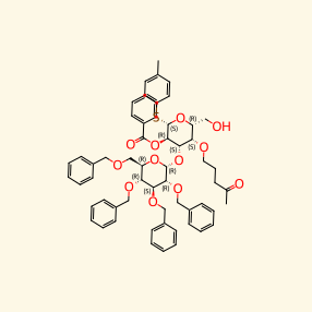 CC(=O)CCCO[C@@H]1[C@H](O[C@H]2O[C@H](COCc3ccccc3)[C@@H](OCc3ccccc3)[C@H](OCc3ccccc3)[C@H]2OCc2ccccc2)[C@@H](OC(=O)c2ccccc2)[C@H](Sc2ccc(C)cc2)O[C@@H]1CO